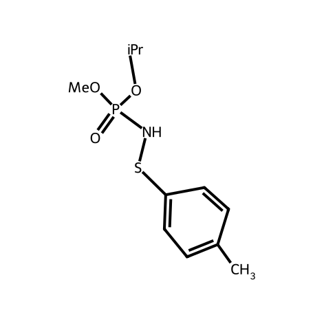 COP(=O)(NSc1ccc(C)cc1)OC(C)C